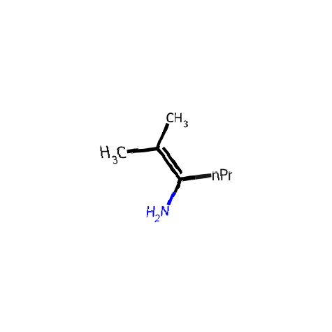 CCCC(N)=C(C)C